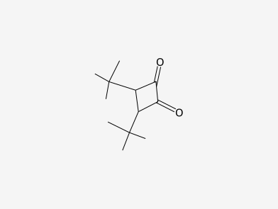 CC(C)(C)C1C(=O)C(=O)C1C(C)(C)C